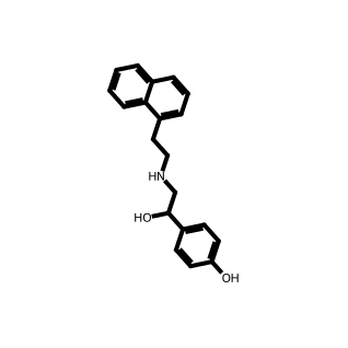 Oc1ccc(C(O)CNCCc2cccc3ccccc23)cc1